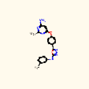 CSc1nc(N)cc(Oc2ccc(-c3nnc(Nc4cccc(C)c4)o3)cc2)n1